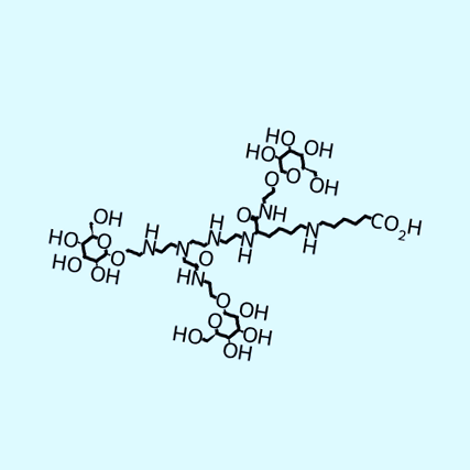 O=C(O)CCCCCNCCCCC(NCCNCCN(CCNCCO[C@H]1O[C@H](CO)[C@@H](O)[C@H](O)[C@H]1O)CC(=O)NCCO[C@H]1O[C@H](CO)[C@@H](O)[C@H](O)[C@H]1O)C(=O)NCCO[C@H]1O[C@H](CO)[C@@H](O)[C@H](O)[C@@H]1O